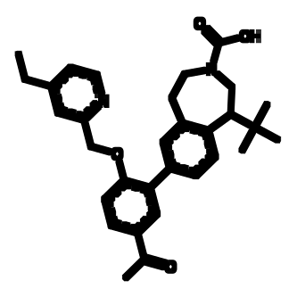 CCc1ccnc(COc2ccc(C(C)=O)cc2-c2ccc3c(c2)CCN(C(=O)O)CC3C(C)(C)C)c1